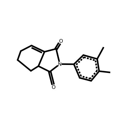 Cc1ccc(N2C(=O)C3=CCCCC3C2=O)cc1C